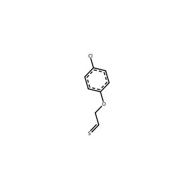 S=CCOc1ccc(Cl)cc1